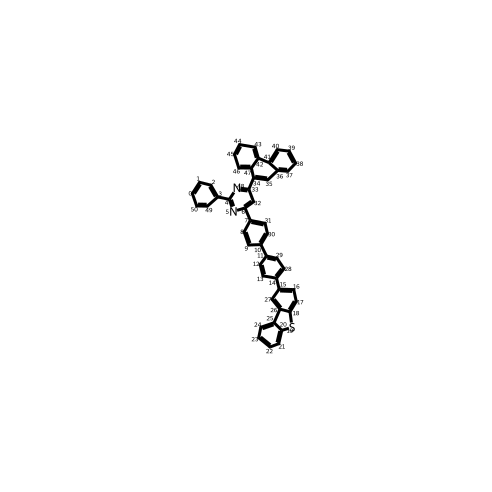 c1ccc(-c2nc(-c3ccc(-c4ccc(-c5ccc6sc7ccccc7c6c5)cc4)cc3)cc(-c3cc4ccccc4c4ccccc34)n2)cc1